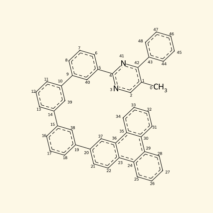 Cc1cnc(-c2cccc(-c3cccc(-c4cccc(-c5ccc6c7ccccc7c7ccccc7c6c5)c4)c3)c2)nc1-c1ccccc1